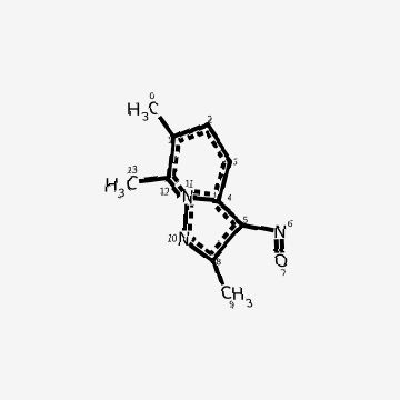 Cc1ccc2c(N=O)c(C)nn2c1C